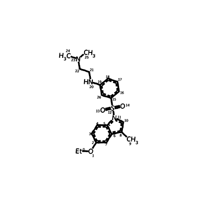 CCOc1ccc2c(c1)c(C)cn2S(=O)(=O)c1cccc(NCCN(C)C)c1